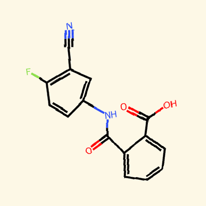 N#Cc1cc(NC(=O)c2ccccc2C(=O)O)ccc1F